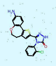 Nc1ccc2c(c1)OCCc1cc(-c3n[nH]c(=O)n3-c3ccccc3Cl)sc1-2